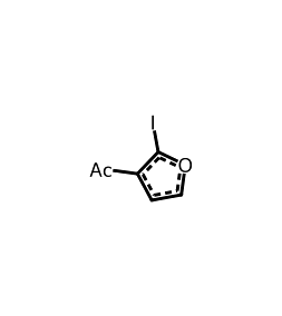 CC(=O)c1ccoc1I